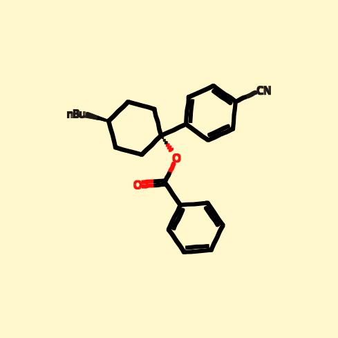 CCCC[C@H]1CC[C@@](OC(=O)c2ccccc2)(c2ccc(C#N)cc2)CC1